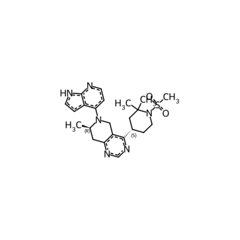 C[C@@H]1Cc2ncnc([C@H]3CCN(S(C)(=O)=O)C(C)(C)C3)c2CN1c1ccnc2[nH]ccc12